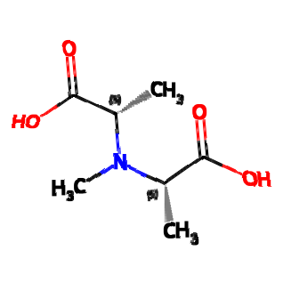 C[C@@H](C(=O)O)N(C)[C@@H](C)C(=O)O